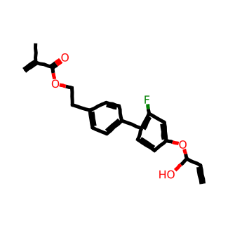 C=CC(O)Oc1ccc(-c2ccc(CCOC(=O)C(=C)C)cc2)c(F)c1